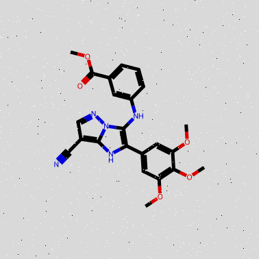 COC(=O)c1cccc(Nc2c(-c3cc(OC)c(OC)c(OC)c3)[nH]c3c(C#N)cnn23)c1